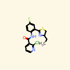 CCC1CSC(c2cc(F)ccc2NC(=O)c2cccnc2Cl)=N1